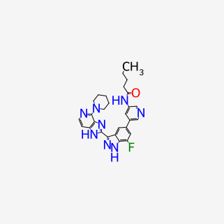 CCCCC(=O)Nc1cncc(-c2cc(F)c3[nH]nc(-c4nc5c(N6CCCCC6)nccc5[nH]4)c3c2)c1